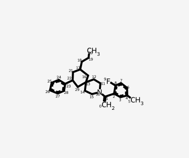 C=C(c1cc(C)ccc1F)N1CCC2(CC1)CC(CCC)CC(c1ccccc1)C2